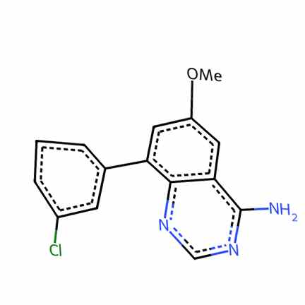 COc1cc(-c2cccc(Cl)c2)c2ncnc(N)c2c1